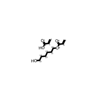 C=CC(=O)O.C=CC(=O)OCCCCCCO